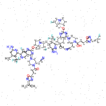 Cc1cc(N)nc(-c2ncc3c(N4CCN(C(=O)/C=C/c5nc(C(C)C)no5)[C@@H](CC#N)C4)nc(OC[C@@]45CCCN4C(Cc4cc(N)nc([C@@H]6Cc7nc(OC[C@@]89CCCN8C[C@H](F)C9)nc(N8CCN(C(O)/C=C/c9nc([C@H]%10C[C@@H]%10F)no9)[C@@H](CC#N)C8)c7C[C@H]6C)c4C(F)(F)F)[C@H](F)C5)nc3c2F)c1C(F)(F)F